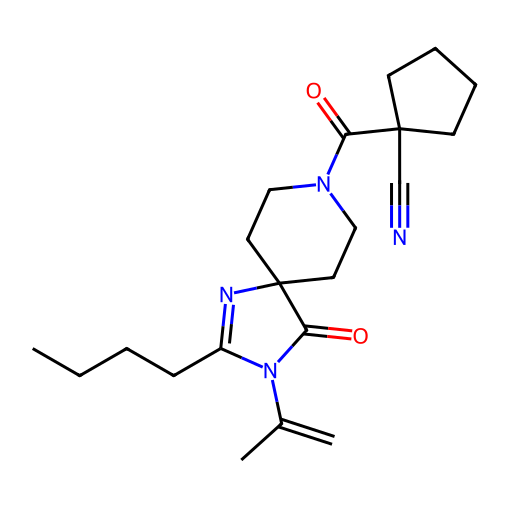 C=C(C)N1C(=O)C2(CCN(C(=O)C3(C#N)CCCC3)CC2)N=C1CCCC